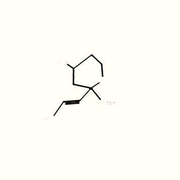 CCCC=CC1(OC)CC(O)CCO1